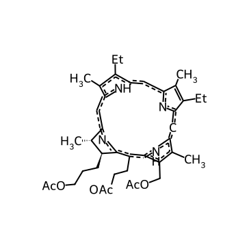 CCC1=C(C)c2cc3[nH]c(cc4nc(c(CCOC(C)=O)c5[nH]c(cc1n2)c(C)c5COC(C)=O)[C@@H](CCCOC(C)=O)[C@@H]4C)c(C)c3CC